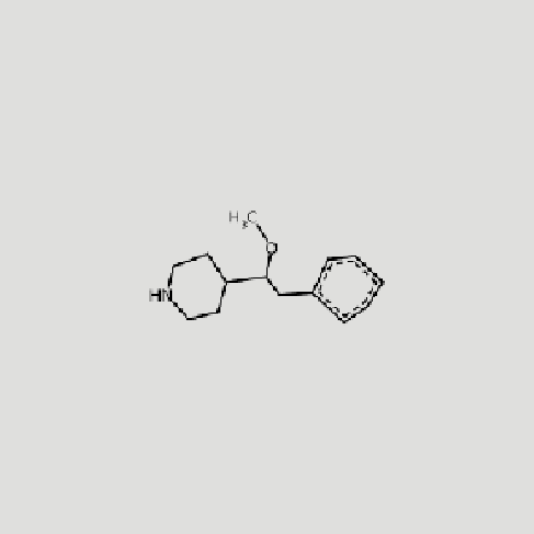 COC(Cc1ccccc1)C1CCNCC1